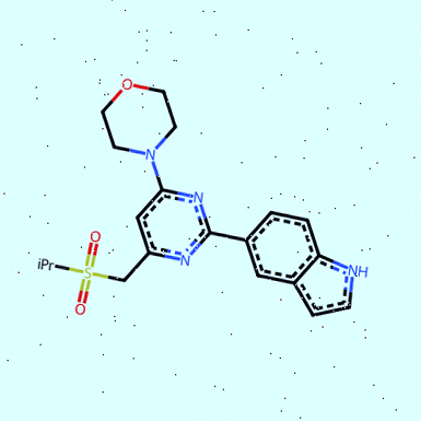 CC(C)S(=O)(=O)Cc1cc(N2CCOCC2)nc(-c2ccc3[nH]ccc3c2)n1